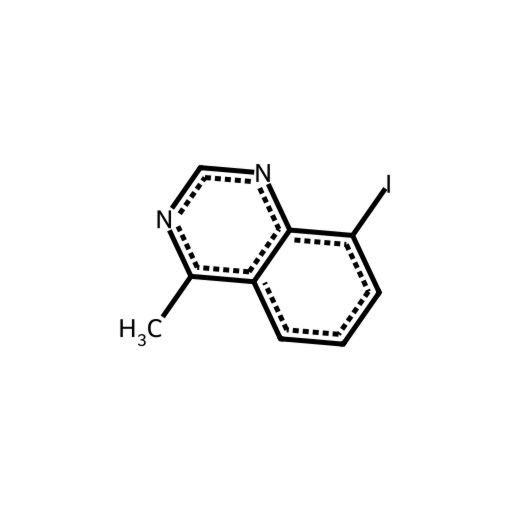 Cc1ncnc2c(I)cccc12